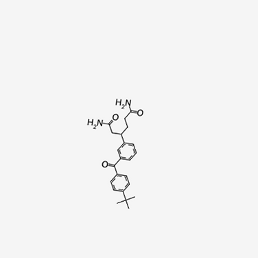 CC(C)(C)c1ccc(C(=O)c2cccc(C(CCC(N)=O)CC(N)=O)c2)cc1